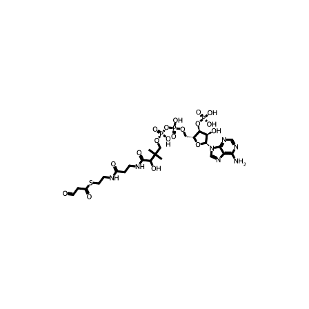 CC(C)(COP(=O)(O)OP(=O)(O)OC[C@H]1O[C@@H](n2cnc3c(N)ncnc32)[C@H](O)[C@@H]1OP(=O)(O)O)C(O)C(=O)NCCC(=O)NCCSC(=O)CC=O